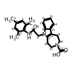 Cc1cc(C)c(NC(=O)Cn2c3c(c4ccccc42)CCN(C(=O)O)CC3)c(C)c1